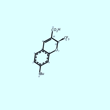 CC(C)(C)c1ccc2c(c1)O[C@H](C(F)(F)F)C(C(=O)O)=C2